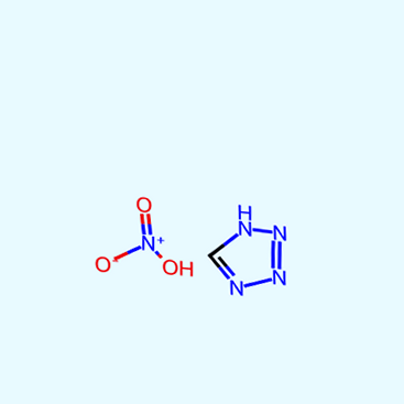 O=[N+]([O-])O.c1nnn[nH]1